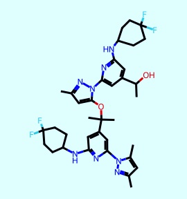 Cc1cc(C)n(-c2cc(C(C)(C)Oc3cc(C)nn3-c3cc(C(C)O)cc(NC4CCC(F)(F)CC4)n3)cc(NC3CCC(F)(F)CC3)n2)n1